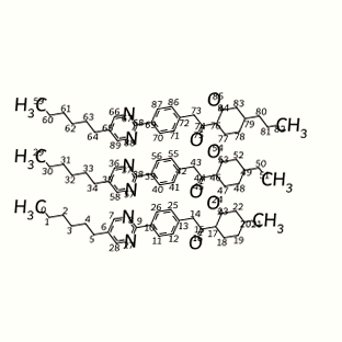 CCCCCCc1cnc(-c2ccc(CC(=O)C3CCC(C)CC3=O)cc2)nc1.CCCCCCc1cnc(-c2ccc(CC(=O)C3CCC(CC)CC3=O)cc2)nc1.CCCCCCc1cnc(-c2ccc(CC(=O)C3CCC(CCC)CC3=O)cc2)nc1